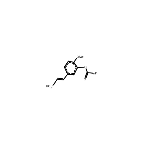 CCCC(=O)Oc1cc(/C=C/C(=O)O)ccc1OC